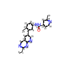 CCc1ncc2cc(-c3cc(NC(=O)c4ccnc(C)c4)ccc3C)cnc2n1